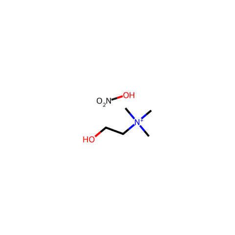 C[N+](C)(C)CCO.O=[N+]([O-])O